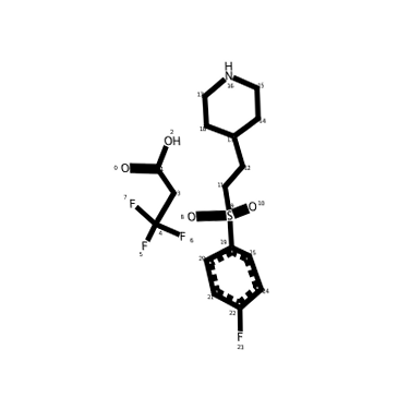 O=C(O)CC(F)(F)F.O=S(=O)(CCC1CCNCC1)c1ccc(F)cc1